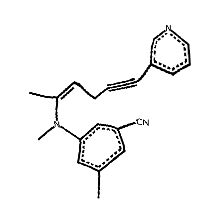 C/C(=C/CC#Cc1cccnc1)N(C)c1cc(C)cc(C#N)c1